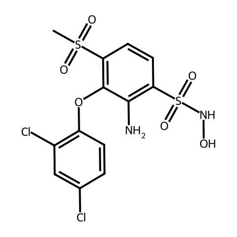 CS(=O)(=O)c1ccc(S(=O)(=O)NO)c(N)c1Oc1ccc(Cl)cc1Cl